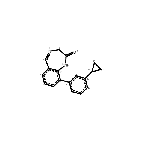 O=C1CN=Cc2cccc(-c3cccc(C4CC4)c3)c2N1